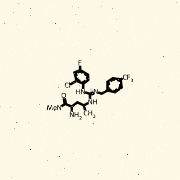 CNC(=O)C(N)CC(C)N/C(=N\Cc1ccc(C(F)(F)F)cc1)Nc1ccc(F)cc1Cl